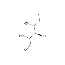 CC[C@@H](O)[C@@H](O)[C@@H](O)C=S